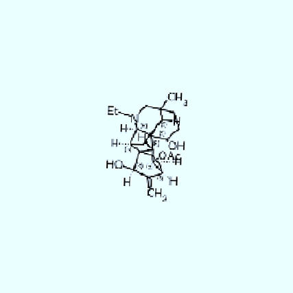 C=C1[C@@H](O)C23CC[C@@H]1[C@H](OC(C)=O)[C@H]2C12[C@@H](O)CCC4(C)CN(CC)[C@@H]1[C@H]3C[C@@H]42